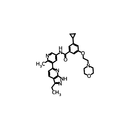 CCc1n[nH]c2nc(-c3cc(NC(=O)c4cc(OCCN5CCOCC5)cc(C5CC5)c4)cnc3C)ccc12